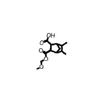 COCOC(=O)C1C2CC(C(C)C2C)C1C(=O)O